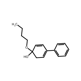 CCCCOC1(O)C=CC(c2ccccc2)=CC1